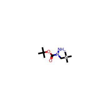 CC(C)(C)OC(=O)N(N)C[Si](C)(C)C